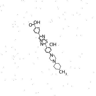 CC1CCC(N2CCN(c3ccc(-c4nn5cc(-c6ccc(C(=O)O)cc6)nc5s4)cc3)CC2)CC1.Cl